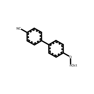 CCCCCCCCOc1ccc(-c2ccc(C#N)cc2)cc1